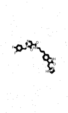 O=C1Nc2cc(/C=C/CNC(=O)c3cncn(Cc4ccc(F)c(F)c4)c3=O)ccc2/C1=C/c1ncc[nH]1